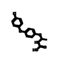 CC(NC(=O)O)Oc1ccc(Oc2ccc(Cl)cc2)cc1